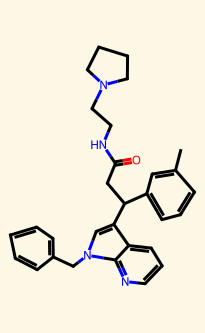 Cc1cccc(C(CC(=O)NCCN2CCCC2)c2cn(Cc3ccccc3)c3ncccc23)c1